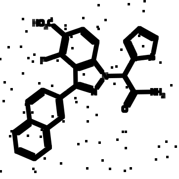 NC(=O)C(c1cccs1)n1nc(-c2ccc3ccccc3c2)c2c(F)c(C(=O)O)ccc21